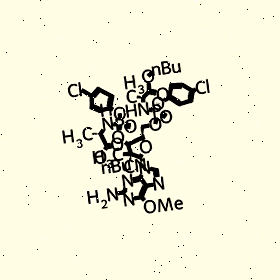 CCCCOC(=O)[C@H](C)NP(=O)(OC[C@H]1O[C@@H](n2cnc3c(OC)nc(N)nc32)[C@](C)(C#N)C1OP(=O)(N[C@@H](C)C(=O)OCCCC)Oc1ccc(Cl)cc1)Oc1ccc(Cl)cc1